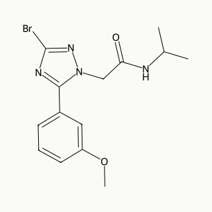 COc1cccc(-c2nc(Br)nn2CC(=O)NC(C)C)c1